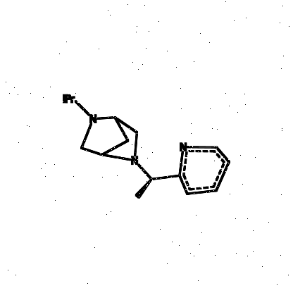 CC(C)N1CC2CC1CN2[C@H](C)c1ccccn1